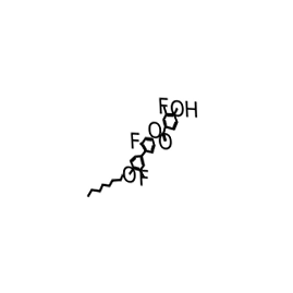 CCCCCCCCOc1ccc(-c2ccc(OC(=O)c3ccc(O)c(F)c3)cc2F)cc1F